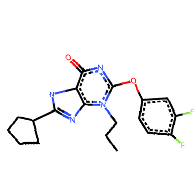 CCCn1c(Oc2ccc(F)c(F)c2)nc(=O)c2c1N=C(C1CCCC1)[N]2